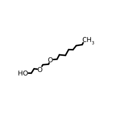 CCCCCCCCOCCOCCO